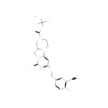 CC(C)(C)OC(=O)N1CCN2c3cc(OCc4ccc(F)c(C#N)c4)nc(=O)n3CC2C1